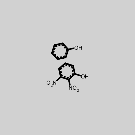 O=[N+]([O-])c1cccc(O)c1[N+](=O)[O-].Oc1ccccc1